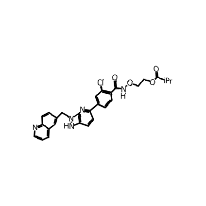 CC(C)C(=O)OCCONC(=O)c1ccc(-c2ccc3[nH]n(Cc4ccc5ncccc5c4)c3n2)cc1Cl